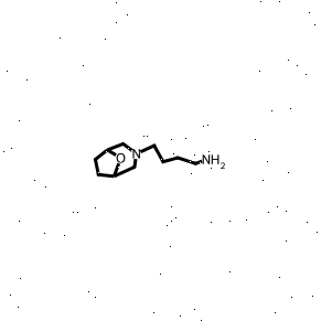 NCCCCN1CC2CCC(C1)O2